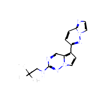 CC(C)(CNc1ncc2c(-c3ccc4nccn4n3)ccn2n1)C(F)(F)F